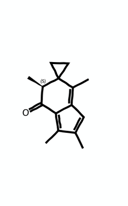 CC1=CC2=C(C)C3(CC3)[C@H](C)C(=O)C2=C1C